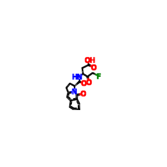 O=C(O)CC(NC(=O)[C@@H]1CCc2cc3ccccc3c(=O)n21)C(=O)CF